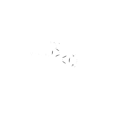 COCOCc1cc(B(O)O)cc(-c2ccc3c(c2)C(C)(C)CCC3(C)C)c1